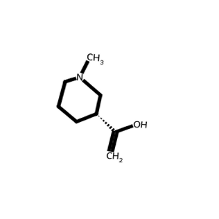 C=C(O)[C@@H]1CCCN(C)C1